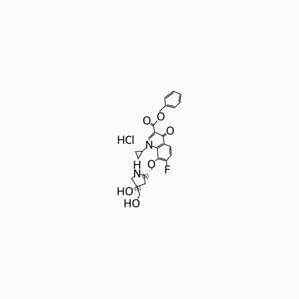 Cl.O=C(OCc1ccccc1)c1cn(C2CC2)c2c(OC[C@@H]3C[C@@](O)(CO)CN3)c(F)ccc2c1=O